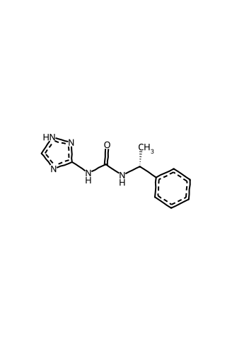 C[C@@H](NC(=O)Nc1nc[nH]n1)c1ccccc1